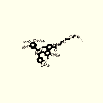 COc1ccc(-c2nc(-c3cc(OC)c(OC)c(OC)c3)n(Cc3ccc(C(=O)NCCOCCOCCN)cc3)c2-c2ccc(OC)c(F)c2)cc1F